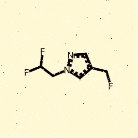 FCc1[c]nn(CC(F)F)[c]1